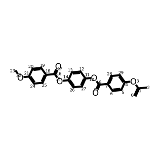 C=C(C)Oc1ccc(C(=O)Oc2ccc(OC(=O)c3ccc(OC)cc3)cc2)cc1